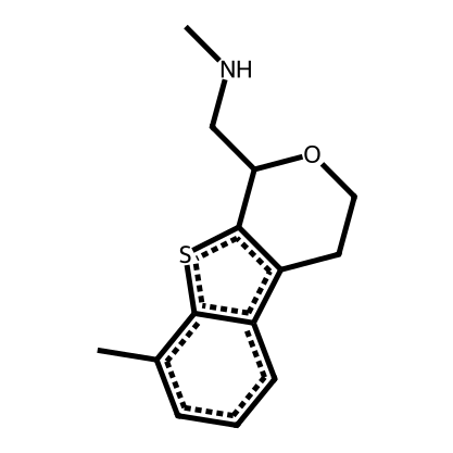 CNCC1OCCc2c1sc1c(C)cccc21